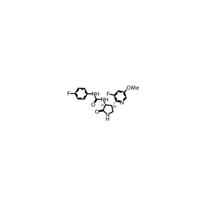 COc1cnc([C@@H]2CNC(=O)[C@H]2NC(=O)Nc2ccc(F)cc2)c(F)c1